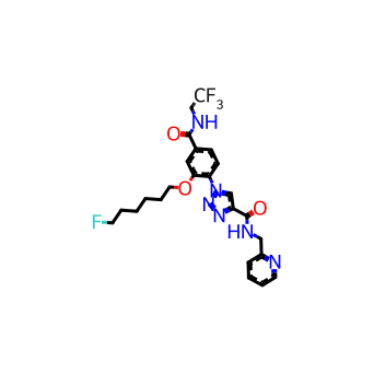 O=C(NCC(F)(F)F)c1ccc(-n2cc(C(=O)NCc3ccccn3)nn2)c(OCCCCCCF)c1